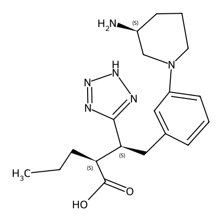 CCC[C@H](C(=O)O)[C@H](Cc1cccc(N2CCC[C@H](N)C2)c1)c1nn[nH]n1